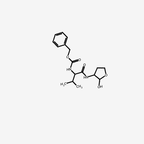 CC(C)C(NC(=O)OCc1ccccc1)C(=O)NC1CCOC1O